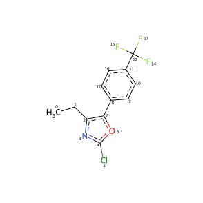 CCc1nc(Cl)oc1-c1ccc(C(F)(F)F)cc1